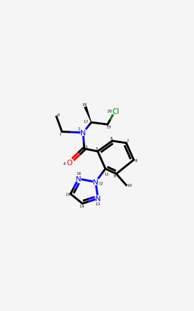 CCN(C(=O)c1cccc(C)c1-n1nccn1)[C@@H](C)CCl